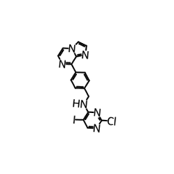 Clc1ncc(I)c(NCc2ccc(-c3nccn4ccnc34)cc2)n1